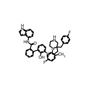 CCC(Oc1cccc(-c2ccccc2C(=O)Nc2cccc3[nH]ccc23)c1O)N1CCNCC1(Cc1ccc(F)cc1)Cc1ccc(F)cc1